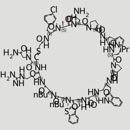 CCCC[C@H]1C(=O)N(C)[C@@H](CCCC)C(=O)N[C@@H](CCCNC(=N)N)C(=O)N[C@H](C(=O)NCC(N)=O)CSCC(=O)N[C@@H](Cc2ccc(Cl)cc2)C(=O)N(C)[C@@H](C)C(=O)N[C@@H](CC(N)=O)C(=O)N2CCC[C@H]2C(=O)N[C@@H](Cc2ccc[nH]2)C(=O)N[C@@H](CC(C)C)C(=O)N2CCC[C@H]2C(=O)N[C@@H](Cc2c[nH]c3ccccc23)C(=O)N[C@@H](CO)C(=O)N[C@@H](Cc2csc3ccccc23)C(=O)N1C